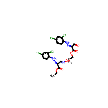 CCOC(=O)/C(C=O)=N/Nc1ccc(Cl)cc1Cl.CCOC(=O)C(/C=N/O)=N/Nc1ccc(Cl)cc1Cl